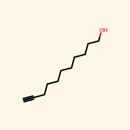 C#CCCCCCCCCCO